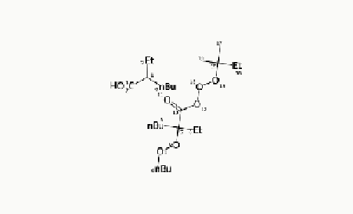 CCCCC(CC)C(=O)O.CCCCOOC(CC)(CCCC)C(=O)OOOC(C)(C)CC